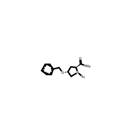 CNC(=O)[C@@H]1C[C@@H](OCc2ccccc2)CN1C(C)=O